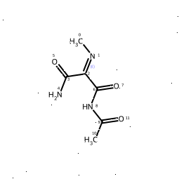 C/N=C(\C(N)=O)C(=O)NC(C)=O